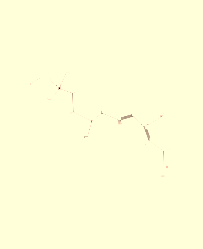 COC(C)(C)CCC(C)CC=CC(C)=CCO